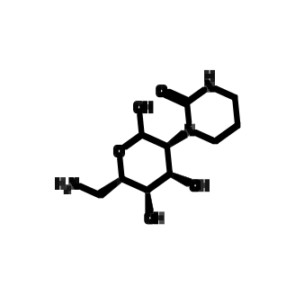 NC[C@H]1OC(O)[C@@H](N2CCCNC2=O)[C@@H](O)[C@H]1O